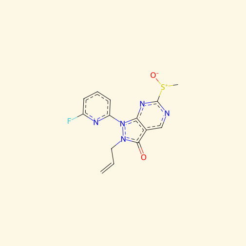 C=CCn1c(=O)c2cnc([S+](C)[O-])nc2n1-c1cccc(F)n1